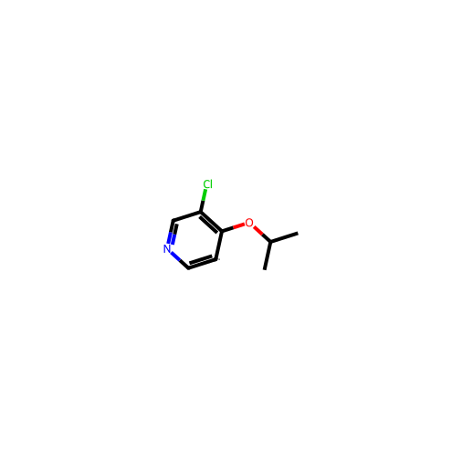 CC(C)Oc1[c]cncc1Cl